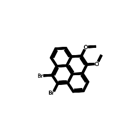 COc1c(OC)c2cccc3c(Br)c(Br)c4cccc1c4c32